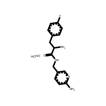 Cl.Cl.Nc1ccc(CNC(=O)C(N)Cc2ccc(F)cc2)cn1